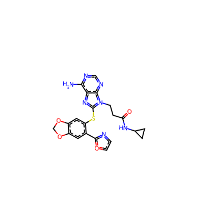 Nc1ncnc2c1nc(Sc1cc3c(cc1-c1ncco1)OCO3)n2CCC(=O)NC1CC1